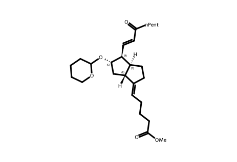 CCCCCC(=O)C=C[C@H]1[C@H]2CCC(=CCCCC(=O)OC)[C@@H]2C[C@@H]1OC1CCCCO1